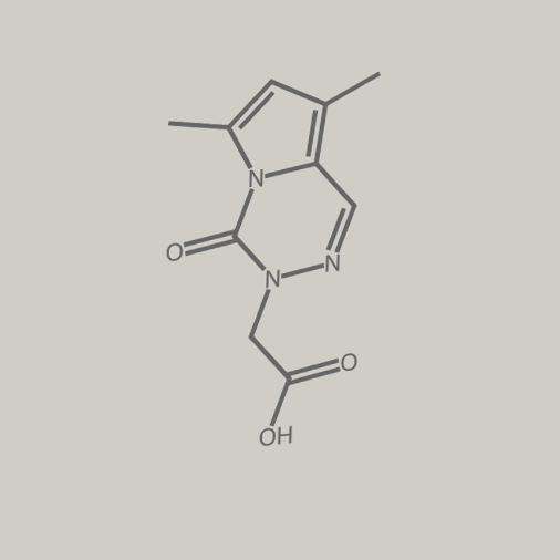 Cc1cc(C)n2c(=O)n(CC(=O)O)ncc12